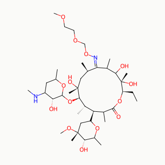 CC[C@H]1OC(=O)C(C)[C@@H](C2C[C@@](C)(OC)[C@@H](O)C(C)O2)[C@H](C)[C@@H](OC2OC(C)CC(NC)[C@H]2O)[C@](C)(O)C[C@@H](C)/C(=N\OCOCCOC)C(C)C(O)[C@]1(C)O